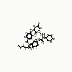 CCCCc1nc2ccc(NC(=O)NC3CCCCC3)cc2n1Cc1ccc(OC(CC(C)C)C(=O)OC)cc1